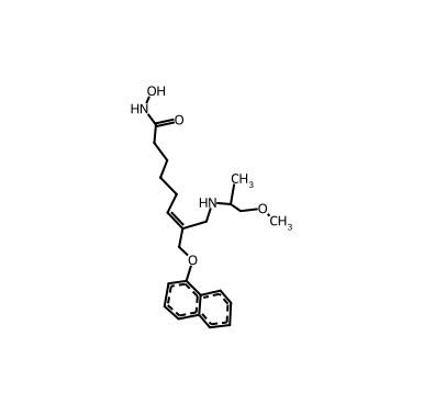 COCC(C)NCC(=CCCCCC(=O)NO)COc1cccc2ccccc12